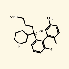 CC(=O)NCCC[C@@](O)(c1cccc(F)c1-c1cc(C)ccc1F)C1CCCNC1